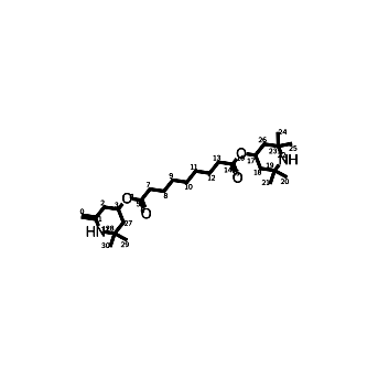 C=C1CC(OC(=O)CCCCCCCC(=O)OC2CC(C)(C)NC(C)(C)C2)CC(C)(C)N1